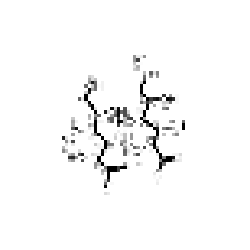 O=C([O-])[C@H](O)[C@@H](O)[C@H](O)[C@H](O)CO.O=C([O-])[C@H](O)[C@@H](O)[C@H](O)[C@H](O)CO.[K+].[Na+]